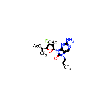 CC(=O)OC([C@H]1O[C@@H](n2c(=O)n(CCC(F)(F)F)c3cnc(N)nc32)[C@H](OC(C)=O)[C@H]1F)C(F)(F)F